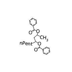 CCCCCC(CC(C)OC(=O)c1ccccc1)OC(=O)c1ccccc1